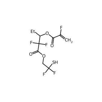 C=C(F)C(=O)OC(CC)C(F)(F)C(=O)OCC(F)(F)S